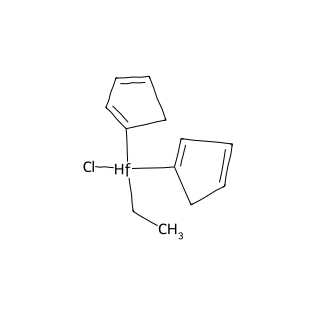 C[CH2][Hf]([Cl])([C]1=CC=CC1)[C]1=CC=CC1